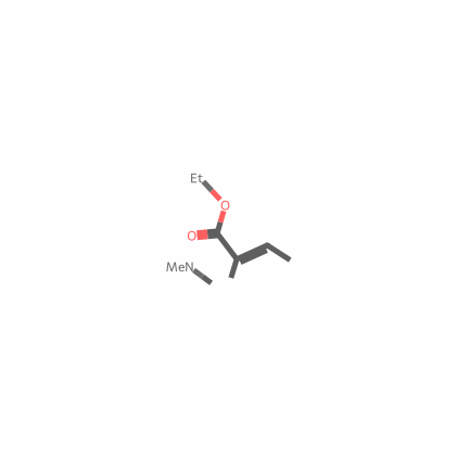 CC=C(C)C(=O)OCC.CNC